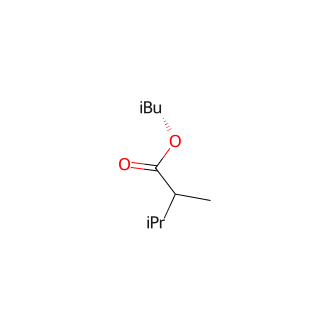 CC[C@@H](C)OC(=O)C(C)C(C)C